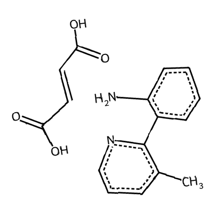 Cc1cccnc1-c1ccccc1N.O=C(O)C=CC(=O)O